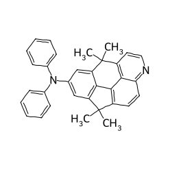 CC1(C)c2cc(N(c3ccccc3)c3ccccc3)cc3c2-c2c1ccc1nccc(c21)C3(C)C